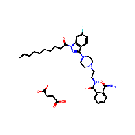 CCCCCCCCCC(=O)n1nc(N2CCN(CCNC(=O)c3ccccc3C(N)=O)CC2)c2ccc(F)cc21.O=C(O)C=CC(=O)O